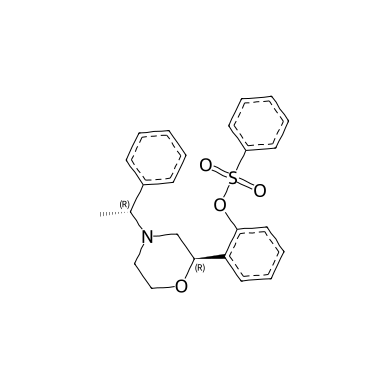 C[C@H](c1ccccc1)N1CCO[C@H](c2ccccc2OS(=O)(=O)c2ccccc2)C1